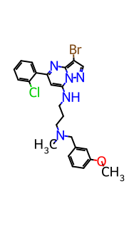 COc1cccc(CN(C)CCCNc2cc(-c3ccccc3Cl)nc3c(Br)cnn23)c1